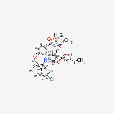 CC/C=C/[C@](C=O)(OC)[C@@H]1CC[C@H]1CN1C[C@@]2(CCCc3cc(Cl)ccc32)COc2ccc(C(=O)NS(=O)(=O)C(C)C)cc21